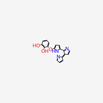 Oc1cccc(Oc2ccc(C3=NC=CC3=C3C=CC=N3)[nH]2)c1O